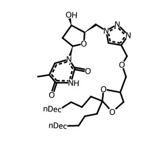 CCCCCCCCCCCCCC1(CCCCCCCCCCCCC)OCC(COCc2cn(C[C@H]3O[C@@H](n4cc(C)c(=O)[nH]c4=O)C[C@H]3O)nn2)O1